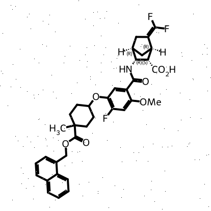 COc1cc(F)c(OC2CCC(C)(C(=O)OCc3cccc4ccccc34)CC2)cc1C(=O)N[C@@H]1[C@H]2CC(=C(F)F)[C@H](C2)[C@@H]1C(=O)O